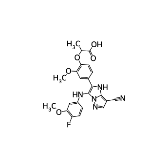 COc1cc(Nc2c(-c3ccc(OC(C)C(=O)O)c(OC)c3)[nH]c3c(C#N)cnn23)ccc1F